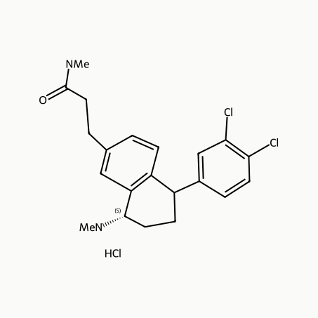 CNC(=O)CCc1ccc2c(c1)[C@@H](NC)CCC2c1ccc(Cl)c(Cl)c1.Cl